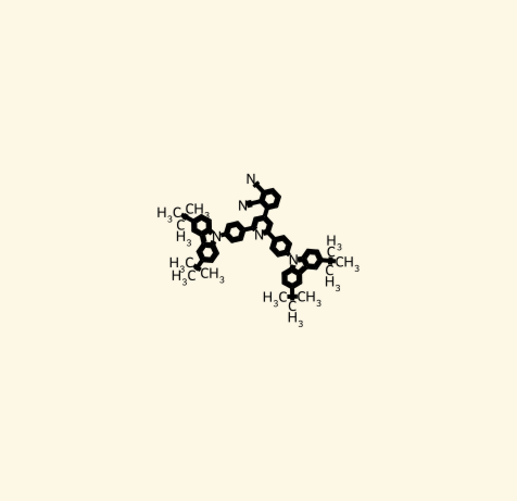 CC(C)(C)c1ccc2c(c1)c1cc(C(C)(C)C)ccc1n2-c1ccc(-c2cc(-c3cccc(C#N)c3C#N)cc(-c3ccc(-n4c5ccc(C(C)(C)C)cc5c5cc(C(C)(C)C)ccc54)cc3)n2)cc1